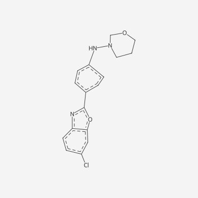 Clc1ccc2nc(-c3ccc(NN4CCCOC4)cc3)oc2c1